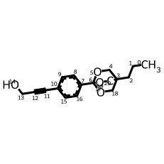 CCCC12COC(c3ccc(C#CCO)cc3)(OC1)OC2